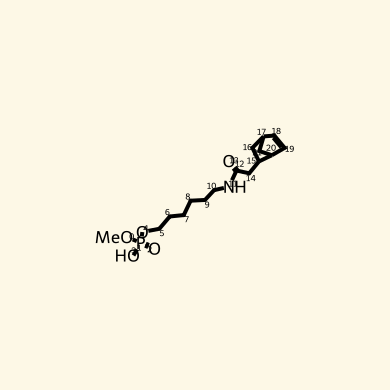 COP(=O)(O)OCCCCCCNC(=O)CC1CC2C=CC1C2